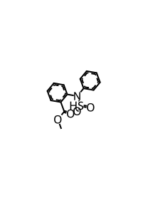 COC(=O)c1ccccc1N(c1ccccc1)[SH](=O)=O